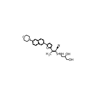 C/C(=C(/C#N)SNCC(O)CO)c1ccc(-c2ccc3cc(N4CCOCC4)ccc3c2)o1